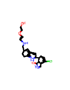 O=C1NCc2c(Cl)ccc(-c3cc4cc(CNCCOCCO)ccc4[nH]3)c21